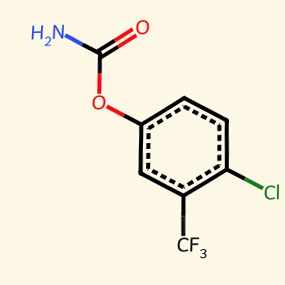 NC(=O)Oc1ccc(Cl)c(C(F)(F)F)c1